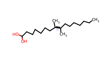 CCCCCCC/C(C)=C(\C)CCCCCCC(O)O